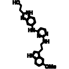 COc1ccc2[nH]cc(CCNc3nccc(Nc4ccc5[nH]c(CCO)nc5c4)n3)c2c1